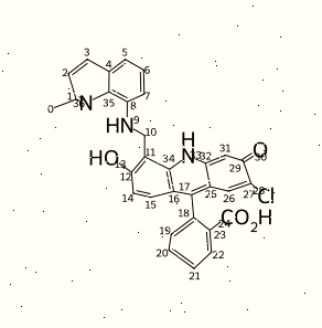 Cc1ccc2cccc(NCc3c(O)ccc4c(-c5ccccc5C(=O)O)c5cc(Cl)c(=O)cc-5[nH]c34)c2n1